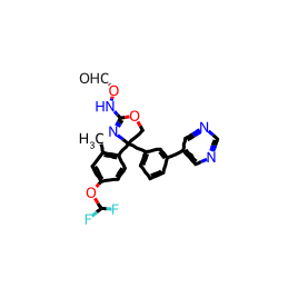 Cc1cc(OC(F)F)ccc1C1(c2cccc(-c3cncnc3)c2)COC(NOC=O)=N1